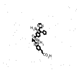 Cn1c(C2(NC(=O)c3ccc4c(C5CCCC5)c(-c5cnccn5)n(C)c4c3)CC2)nc2ccc(/C=C/C(=O)O)cc21